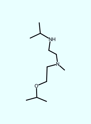 CC(C)NCCN(C)CCOC(C)C